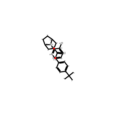 CC(C)(C)c1ccc(NC(=O)N2CC3CCC(C2)N3c2ncccc2Cl)cc1